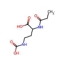 [CH2]CC(=O)NC(CCNC(=O)O)C(=O)O